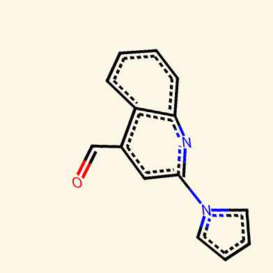 O=Cc1cc(-n2cccc2)nc2ccccc12